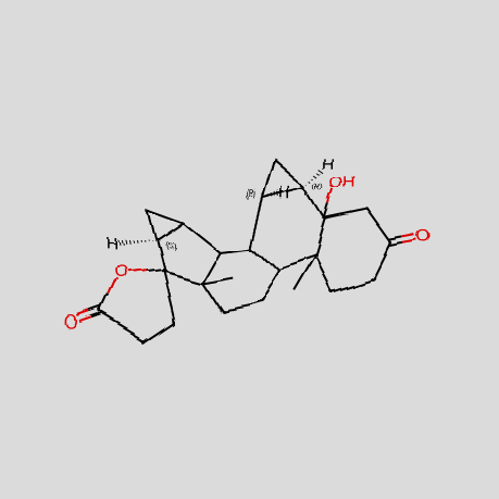 CC12CCC(=O)CC1(O)[C@@H]1C[C@@H]1C1C2CCC2(C)C1C1C[C@@H]1C21CCC(=O)O1